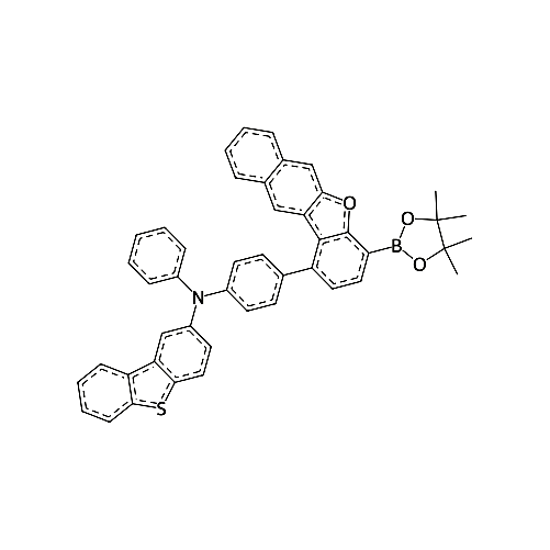 CC1(C)OB(c2ccc(-c3ccc(N(c4ccccc4)c4ccc5sc6ccccc6c5c4)cc3)c3c2oc2cc4ccccc4cc23)OC1(C)C